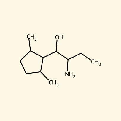 CCC(N)C(O)C1C(C)CCC1C